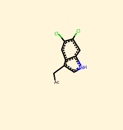 CC(=O)Cc1c[nH]c2cc(Cl)c(Cl)cc12